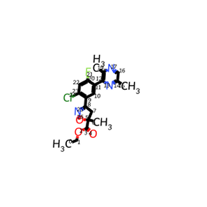 CCOC(=O)C1(C)CC(c2cc(-c3nc(C)cnc3C)c(F)cc2Cl)=NO1